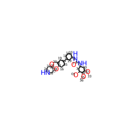 COc1cc(NC(=O)Nc2cccc(-c3ccc4c(c3)COC3(CCNCC3)O4)c2)cc(OC)c1OC